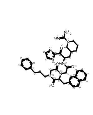 N=C(N)N1CCCC(CC(NC(=O)CN2C(=O)CN(CCCc3ccccc3)C(=O)C2Cc2ccc3ccccc3c2)C(=O)c2nccs2)C1